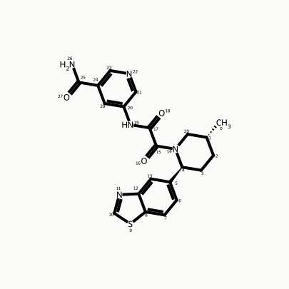 C[C@@H]1CC[C@@H](c2ccc3scnc3c2)N(C(=O)C(=O)Nc2cncc(C(N)=O)c2)C1